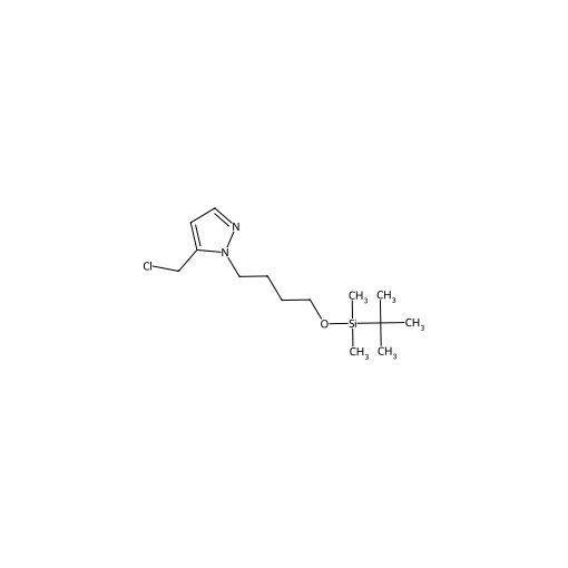 CC(C)(C)[Si](C)(C)OCCCCn1nccc1CCl